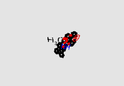 CC1CC=CC=C1c1ccc2c(c1Nc1ccc3c(c1)-c1ccccc1C31c3ccccc3Oc3ccccc31)C1(c3ccccc3-c3ccccc31)c1ccccc1-2